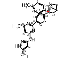 Cc1ccc(CN2C3CC2CN(c2ccc(-c4nc(C)cc(Nc5cc(C)[nH]n5)n4)cn2)C3)cn1